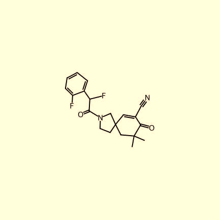 CC1(C)CC2(C=C(C#N)C1=O)CCN(C(=O)C(F)c1ccccc1F)C2